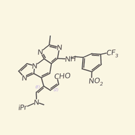 Cc1nc(NCc2cc([N+](=O)[O-])cc(C(F)(F)F)c2)c2cc(C(/C=C\C=O)=C/N(C)C(C)C)c3nccn3c2n1